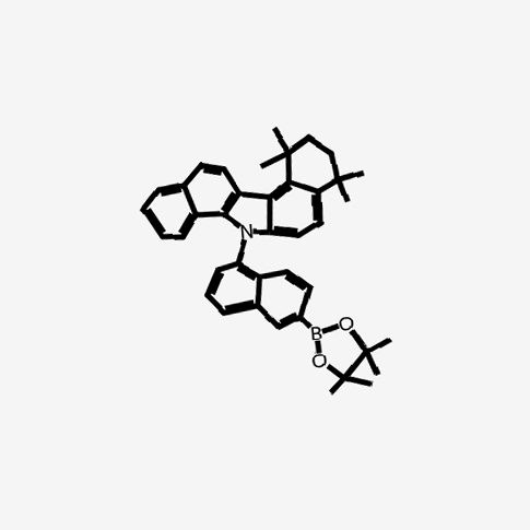 CC1(C)CCC(C)(C)c2c1ccc1c2c2ccc3ccccc3c2n1-c1cccc2cc(B3OC(C)(C)C(C)(C)O3)ccc12